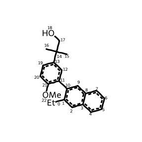 CCc1cc2ccccc2cc1-c1cc(C(C)(C)CO)ccc1OC